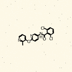 Cc1ncccc1Oc1ccc(NC(=O)c2c(Cl)cccc2Cl)cn1